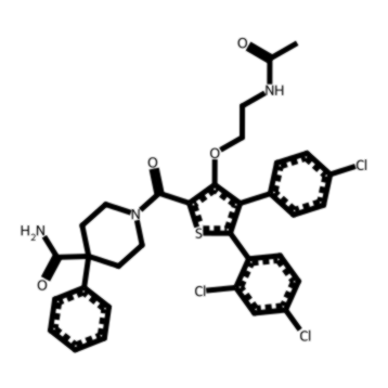 CC(=O)NCCOc1c(C(=O)N2CCC(C(N)=O)(c3ccccc3)CC2)sc(-c2ccc(Cl)cc2Cl)c1-c1ccc(Cl)cc1